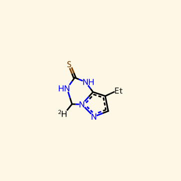 [2H]C1NC(=S)Nc2c(CC)cnn21